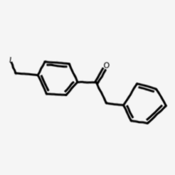 O=C(Cc1ccccc1)c1ccc(CI)cc1